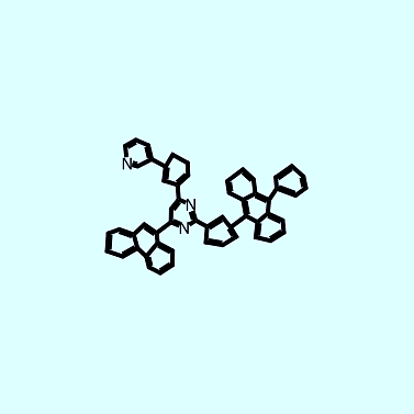 C1=C(c2cccnc2)CCC=C1c1cc(-c2cc3ccccc3c3ccccc23)nc(-c2cccc(-c3c4ccccc4c(-c4ccccc4)c4ccccc34)c2)n1